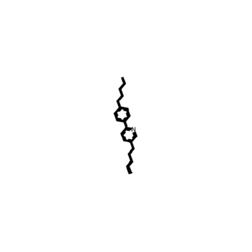 C=CCCCc1ccc(-c2ccc(CCCCC)cc2)nc1